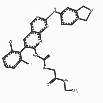 CCNC(=O)CNC(=O)Nc1nc2nc(Nc3ccc4c(c3)COC4)ncc2cc1-c1c(Cl)cccc1Cl